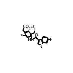 CCOC(=O)Cc1cc(CI)c(NC(=O)c2cn(C)c3cc(F)ccc23)cc1F